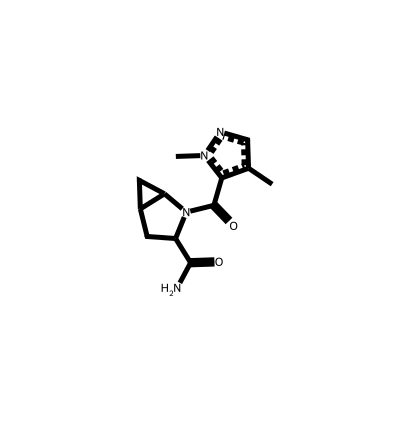 Cc1cnn(C)c1C(=O)N1C(C(N)=O)CC2CC21